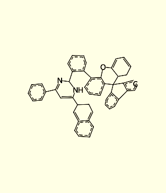 C1=CCC2C(=C1)Oc1c(-c3ccccc3C3N=C(c4ccccc4)C=C(C4C=c5ccccc5=CC4)N3)cccc1C21c2ccccc2-c2ccccc21